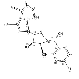 O=c1nc[nH]c2c1c(F)cn2[C@@H]1OC([C@H](O)c2ccc(Cl)cc2)[C@@H](O)[C@H]1O